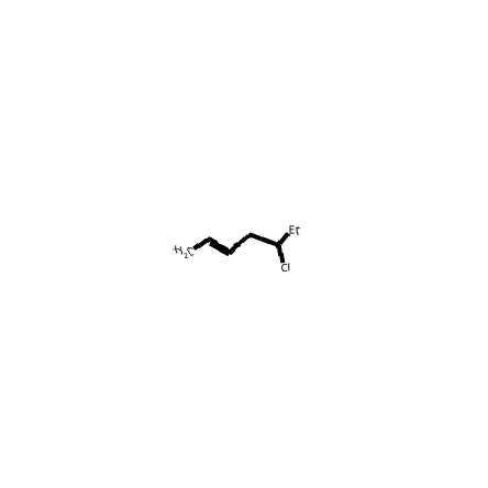 [CH2]/C=C/CC(Cl)CC